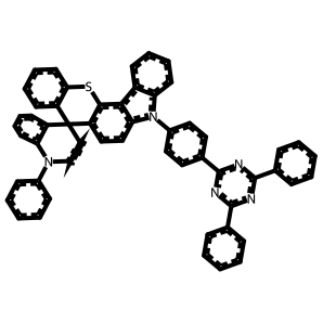 c1ccc(-c2nc(-c3ccccc3)nc(-c3ccc(-n4c5ccccc5c5c6c(ccc54)C4(c5ccccc5S6)c5ccccc5N(c5ccccc5)c5ccccc54)cc3)n2)cc1